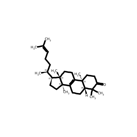 CC(C)=CCC[C@H](C)[C@@H]1CC[C@]2(C)C3=C(CC[C@@]12C)[C@@]1(C)CCC(=O)C(C)(C)[C@@H]1CC3